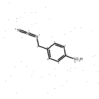 [N-]=[N+]=NCc1ccc(S(=O)(=O)O)cc1